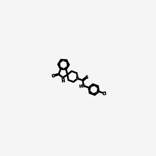 O=C1NC2(CCN(C(=S)Nc3ccc(Cl)cc3)CC2)c2ccccc21